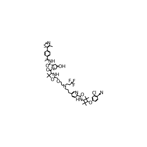 Cc1ncsc1-c1ccc([C@H](C)NC(=O)[C@@H]2C[C@@H](O)CN2C(=O)C(NC(=O)COCCN(CCCc2ccc(C(=O)NC3C(C)(C)C(Oc4ccc(C#N)c(Cl)c4)C3(C)C)nc2)CCC(F)(F)F)C(C)(C)C)cc1